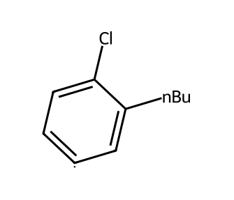 CCCCc1c[c]ccc1Cl